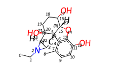 CCN1C2C[C@]34c5c(C)ccc(O)c5O[C@H]3C(O)CC[C@@]4(O)[C@@H]21